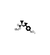 CC(C)(C)OC(=O)N(CC1(c2ccc([N+](=O)[O-])cc2)CC1)C1CC1